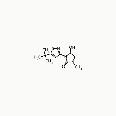 CN1CC(O)N(c2cc(C(C)(C)C)sn2)C1=O